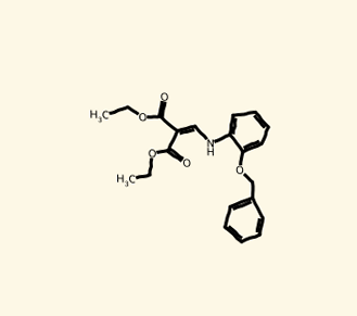 CCOC(=O)C(=CNc1ccccc1OCc1ccccc1)C(=O)OCC